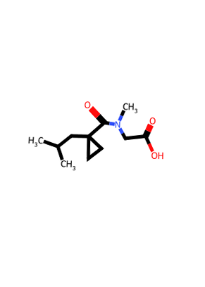 CC(C)CC1(C(=O)N(C)CC(=O)O)CC1